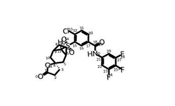 O=C1CC[C@]2(CC3CCC(C2)[C@@H]3S(=O)(=O)c2cc(C(=O)Nc3cc(F)c(F)c(F)c3)ccc2Cl)O1